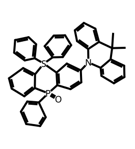 CC1(C)c2ccccc2N(c2ccc3c(c2)S(c2ccccc2)(c2ccccc2)c2ccccc2P3(=O)c2ccccc2)c2ccccc21